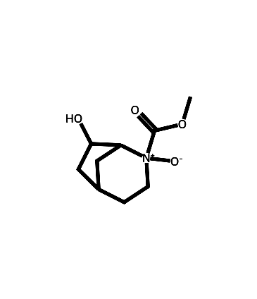 COC(=O)[N+]1([O-])CCC2CC(O)C1C2